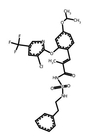 CC(=Cc1ccc(OC(C)C)cc1Oc1ncc(C(F)(F)F)cc1Cl)C(=O)NS(=O)(=O)NCCc1ccccc1